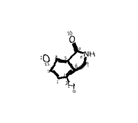 [2H]c1cccc2c1CNC2=O.[O]